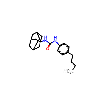 O=C(O)CCCc1ccc(NC(=O)NC23CC4CC(CC(C4)C2)C3)cc1